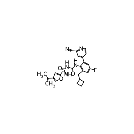 C=C(C)c1coc(S(=N)(=O)NC(=O)Nc2c(CC3CCC3)cc(F)cc2-c2ccnc(C#N)c2)c1